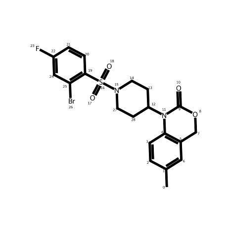 Cc1ccc2c(c1)COC(=O)N2C1CCN(S(=O)(=O)c2ccc(F)cc2Br)CC1